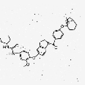 CCC(CC)NC(=O)Nc1ccc(Oc2ccc3c(c2)CCN3C(=O)c2ccc(OC34CCCC(CC3)N4C)cc2)c(OC)c1